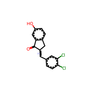 O=C1/C(=C/c2ccc(Cl)c(Cl)c2)Cc2ccc(O)cc21